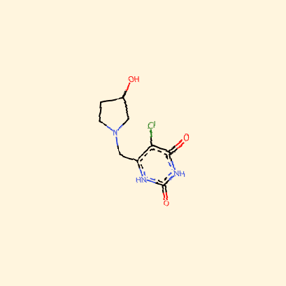 O=c1[nH]c(CN2CCC(O)C2)c(Cl)c(=O)[nH]1